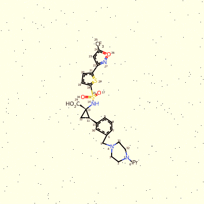 CC(C)N1CCN(Cc2cccc([C@H]3C[C@@]3(NS(=O)(=O)c3ccc(-c4cc(C(F)(F)F)on4)s3)C(=O)O)c2)CC1